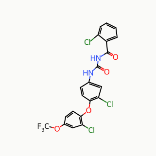 O=C(NC(=O)c1ccccc1Cl)Nc1ccc(Oc2ccc(OC(F)(F)F)cc2Cl)c(Cl)c1